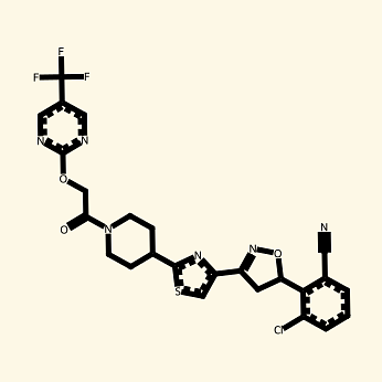 N#Cc1cccc(Cl)c1C1CC(c2csc(C3CCN(C(=O)COc4ncc(C(F)(F)F)cn4)CC3)n2)=NO1